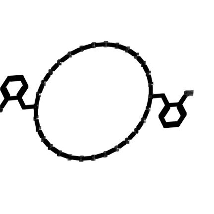 Oc1ccccc1CN1CCSCCSCCSCCSCCN(Cc2ccccc2O)CCSCCSCCSCCSCC1